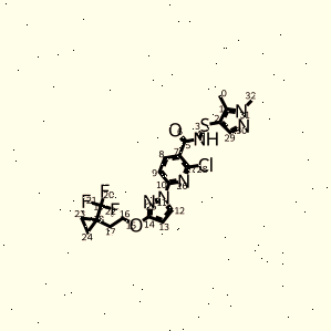 Cc1c(SNC(=O)c2ccc(-n3ccc(OCCC4(C(F)(F)F)CC4)n3)nc2Cl)cnn1C